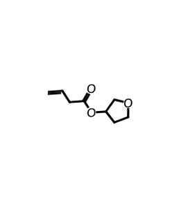 C=CCC(=O)OC1CCOC1